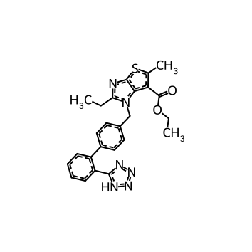 CCOC(=O)c1c(C)sc2nc(CC)n(Cc3ccc(-c4ccccc4-c4nnn[nH]4)cc3)c12